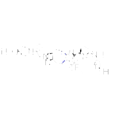 CN1CCN(C(=O)Cn2cc3c(n2)C/C=C(OC(F)(F)F)\C(NC(=O)c2csc(NC4CN(C)C4)n2)=C/C3)CC1